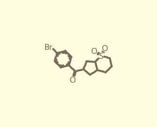 O=C(c1ccc(Br)cc1)C1CC2CCCS(=O)(=O)C2C1